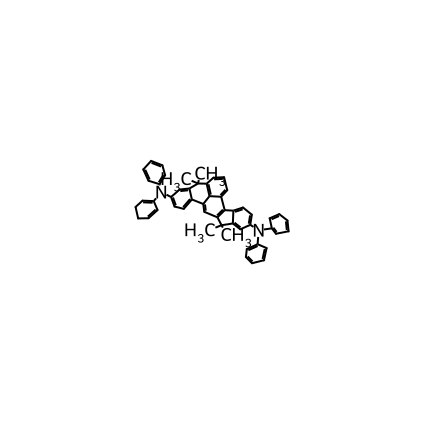 CC1(C)c2cc(N(c3ccccc3)c3ccccc3)ccc2-c2c1cc1c3c(cccc23)C(C)(C)c2cc(N(C3=CCCC=C3)c3ccccc3)ccc2-1